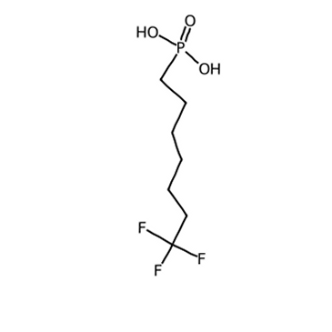 O=P(O)(O)CCCCCCC(F)(F)F